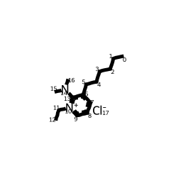 CCCCCCc1ccc[n+](CC)c1N(C)C.[Cl-]